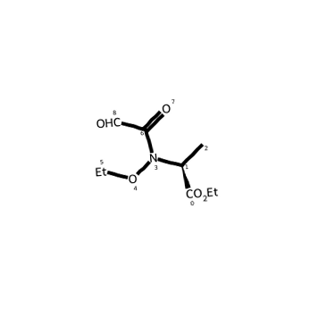 CCOC(=O)[C@H](C)N(OCC)C(=O)C=O